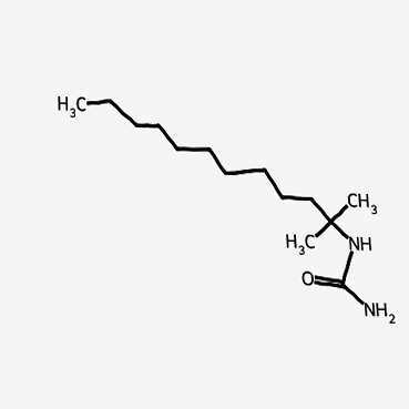 CCCCCCCCCCC(C)(C)NC(N)=O